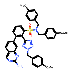 COc1ccc(CN(Cc2ccc(OC)cc2)S(=O)(=O)c2cccc(-c3ccc4cnc(N)nc4c3)c2-c2nnn(Cc3ccc(OC)cc3)n2)cc1